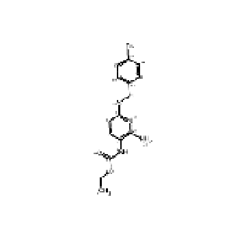 CCOC(=O)Nc1ccc(SCc2ccc(F)cc2)nc1N